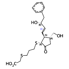 O=C(O)CSCCCS[C@H]1C(=O)C[C@@H](CO)[C@@H]1/C=C/[C@H](O)Cc1ccccc1